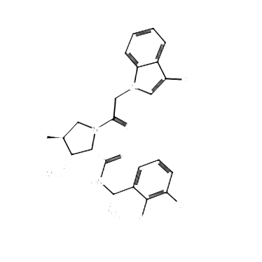 CO[C@H]1[C@@H](C(=O)N[C@@H](C)c2cccc(Cl)c2F)N(C(=O)Cn2cc(C(C)=O)c3ccccc32)C[C@@H]1F